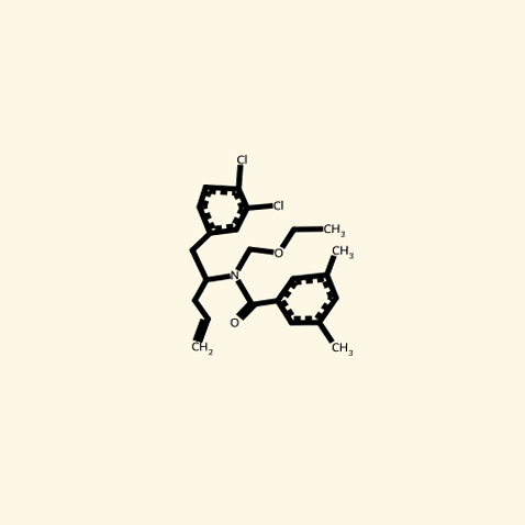 C=CCC(Cc1ccc(Cl)c(Cl)c1)N(COCC)C(=O)c1cc(C)cc(C)c1